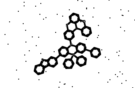 c1ccc(-c2ccc3c(c2)[Si](c2ccccc2)(c2ccccc2)c2cc(-c4ccc5c(c4)sc4ccccc45)ccc2N3c2ccc3c(c2)B2c4ccccc4Oc4cccc(c42)S3)cc1